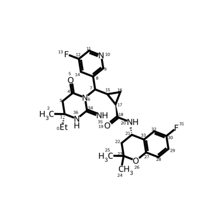 CC[C@]1(C)CC(=O)N(C(c2cncc(F)c2)C2C[C@H]2C(=O)N[C@H]2CC(C)(C)Oc3ccc(F)cc32)C(=N)N1